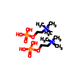 C[N+](C)(C)CCOP(=O)(O)O.C[N+](C)(C)CCOP(=O)(O)O